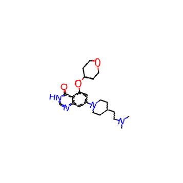 CN(C)CCC1CCN(c2cc(OC3CCOCC3)c3c(=O)[nH]cnc3c2)CC1